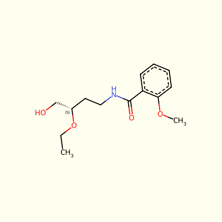 CCO[C@H](CO)CCNC(=O)c1ccccc1OC